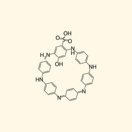 Nc1cc(S(=O)(=O)O)c(Nc2ccc(Nc3ccc(N=C4C=CC(=Nc5ccc(Nc6ccccc6)cc5)C=C4)cc3)cc2)cc1O